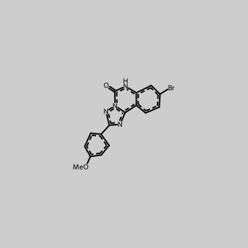 COc1ccc(-c2nc3c4ccc(Br)cc4[nH]c(=O)n3n2)cc1